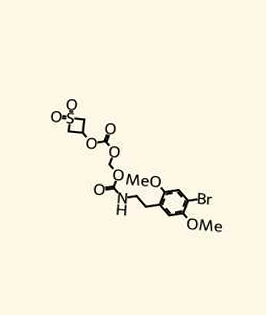 COc1cc(CCNC(=O)OCOC(=O)OC2CS(=O)(=O)C2)c(OC)cc1Br